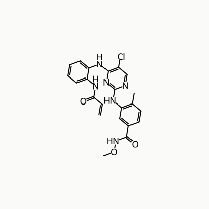 C=CC(=O)Nc1ccccc1Nc1nc(Nc2cc(C(=O)NOC)ccc2C)ncc1Cl